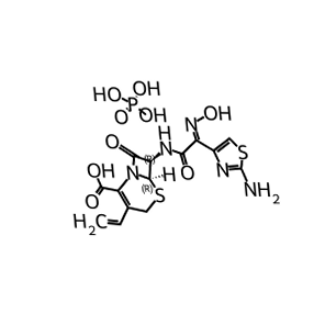 C=CC1=C(C(=O)O)N2C(=O)[C@@H](NC(=O)C(=NO)c3csc(N)n3)[C@H]2SC1.O=P(O)(O)O